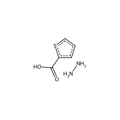 NN.O=C(O)c1cccs1